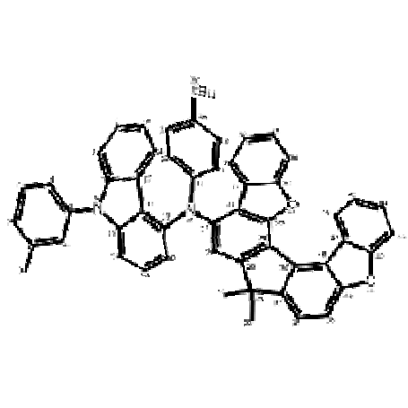 Cc1cccc(-n2c3ccccc3c3c(N(c4ccc(C(C)(C)C)cc4)c4cc5c(c6oc7ccccc7c46)-c4c(ccc6oc7ccccc7c46)C5(C)C)cccc32)c1